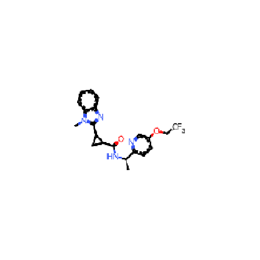 C[C@@H](NC(=O)C1CC1c1nc2ccccc2n1C)c1ccc(OCC(F)(F)F)cn1